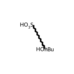 CCCC[C@@H](O)C=CCCCCCCCCCCCS(=O)(=O)O